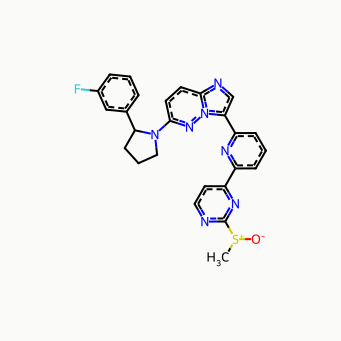 C[S+]([O-])c1nccc(-c2cccc(-c3cnc4ccc(N5CCCC5c5cccc(F)c5)nn34)n2)n1